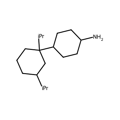 CC(C)C1CCCC(C(C)C)(C2CCC(N)CC2)C1